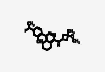 C=C(I)c1ccc(-c2nnc(NC3CC(C)(OC)C3)c3c2CCCC3)c(O)c1